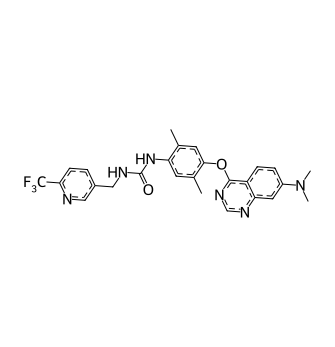 Cc1cc(Oc2ncnc3cc(N(C)C)ccc23)c(C)cc1NC(=O)NCc1ccc(C(F)(F)F)nc1